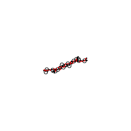 C=CC(=C)OCCCCOCC(COc1ccc(C(=O)OC2CCC(OC(=O)c3ccc(OCC(COCCCCOC(=O)C=C)OC(=C)C=C)cc3)CC2)cc1)OC(=O)C=C